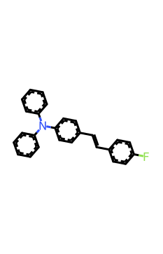 Fc1ccc(C=Cc2ccc(N(c3ccccc3)c3ccccc3)cc2)cc1